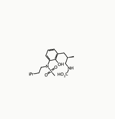 CC(C)CCN(c1cccc(C[C@@H](C)CNC(=O)O)c1O)S(C)(=O)=O